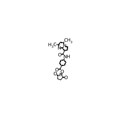 Cc1cc(C)n2ccc(C(=O)Nc3ccc(C(=O)ON4C(=O)CCC4=O)cc3)c2n1